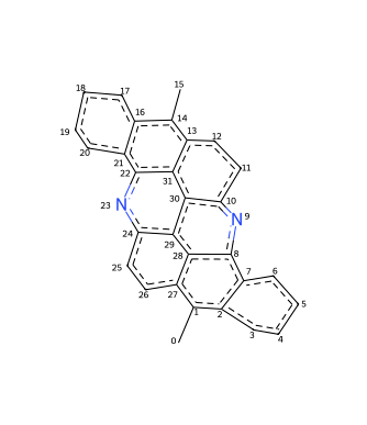 Cc1c2ccccc2c2nc3ccc4c(C)c5ccccc5c5nc6ccc1c2c6c3c45